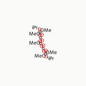 COc1cc(C(=O)Oc2ccc(C(=O)Oc3ccc(OC(=O)c4ccc(OC(=O)c5cc(OC)c(OCCC(C)C)cc5OC)cc4)c(OC)c3)cc2)c(OC)cc1OCCC(C)C